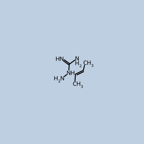 CC=CC.N=C(N)NN